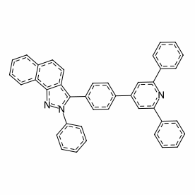 c1ccc(-c2cc(-c3ccc(-c4c5ccc6ccccc6c5nn4-c4ccccc4)cc3)cc(-c3ccccc3)n2)cc1